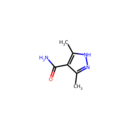 Cc1n[nH]c(C)c1C(N)=O